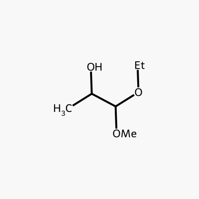 CCOC(OC)C(C)O